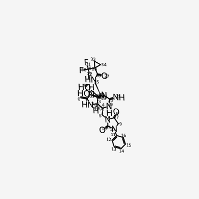 C=C1N[C@H]2[C@H](CN3C(=O)CN(c4ccccc4)C3=O)NC(=N)N3C[C@H](NC(=O)C4(C(F)(F)F)CC4)C(O)(O)[C@]23N1